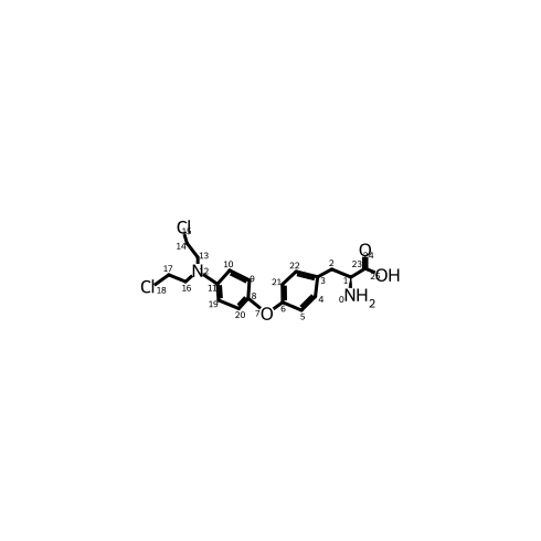 N[C@@H](Cc1ccc(Oc2ccc(N(CCCl)CCCl)cc2)cc1)C(=O)O